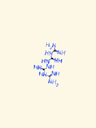 N=C(N)NC(=N)NNC(=N)NC(=N)N